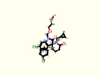 O=C1CC[C@H](c2cccc(Cl)c2)[C@]2(C(=O)N(COCCSI)c3cc(Cl)ccc32)N1CC1CC1